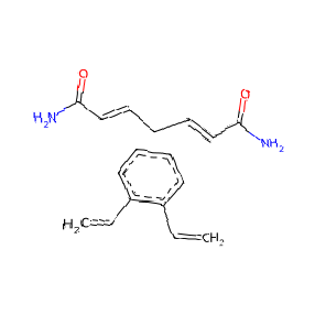 C=Cc1ccccc1C=C.NC(=O)C=CCC=CC(N)=O